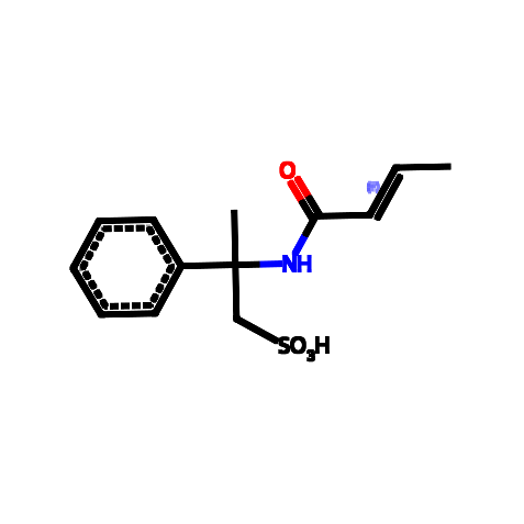 C/C=C/C(=O)NC(C)(CS(=O)(=O)O)c1ccccc1